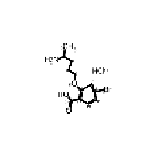 CC(N)CCCOc1cc(Br)ccc1C(=O)O.Cl